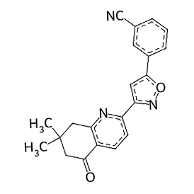 CC1(C)CC(=O)c2ccc(-c3cc(-c4cccc(C#N)c4)on3)nc2C1